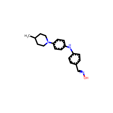 CC1CCN(c2ccc(Nc3ccc(/C=N/O)cc3)cc2)CC1